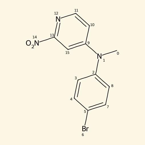 CN(c1ccc(Br)cc1)c1ccnc([N+](=O)[O-])c1